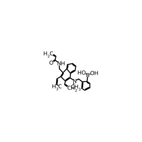 C=CC(=O)NCc1c(/C=C\C)c(C=C)c(N(C)Cc2ccccc2B(O)O)c2ccccc12